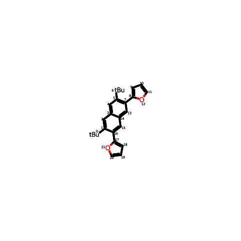 CC(C)(C)c1cc2cc(C(C)(C)C)c(-c3ccco3)cc2cc1-c1ccco1